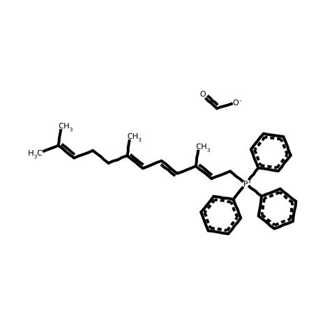 CC(C)=CCC/C(C)=C/C=C/C(C)=C/C[P+](c1ccccc1)(c1ccccc1)c1ccccc1.O=C[O-]